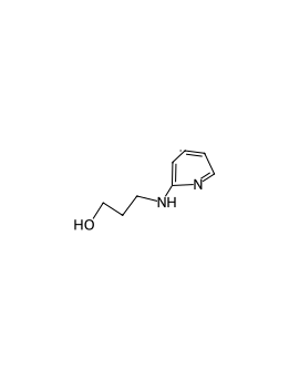 OCCCNc1c[c]ccn1